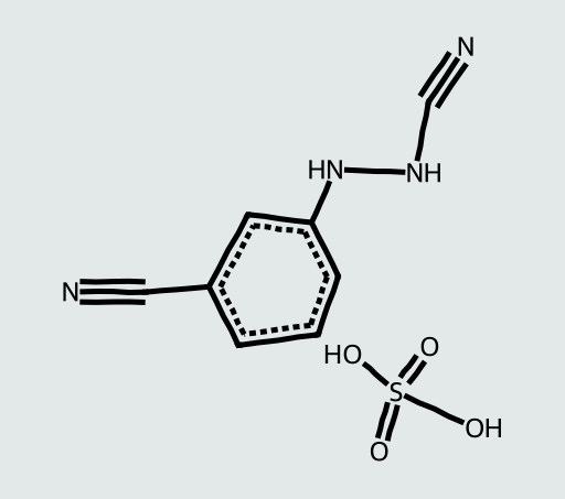 N#CNNc1cccc(C#N)c1.O=S(=O)(O)O